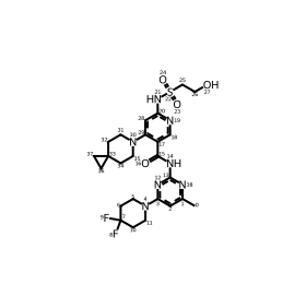 Cc1cc(N2CCC(F)(F)CC2)nc(NC(=O)c2cnc(NS(=O)(=O)CCO)cc2N2CCC3(CC2)CC3)n1